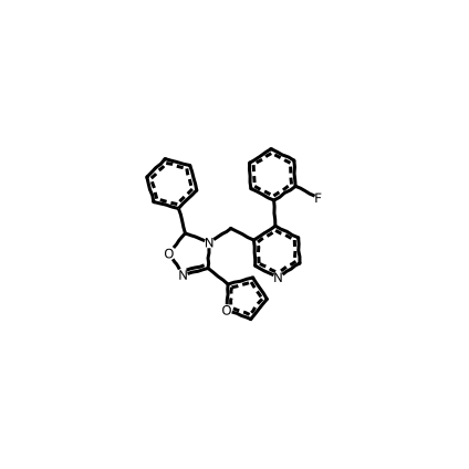 Fc1ccccc1-c1ccncc1CN1C(c2ccco2)=NOC1c1ccccc1